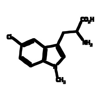 Cn1cc(CC(N)C(=O)O)c2cc(Cl)ccc21